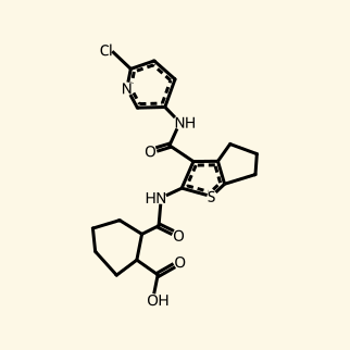 O=C(Nc1ccc(Cl)nc1)c1c(NC(=O)C2CCCCC2C(=O)O)sc2c1CCC2